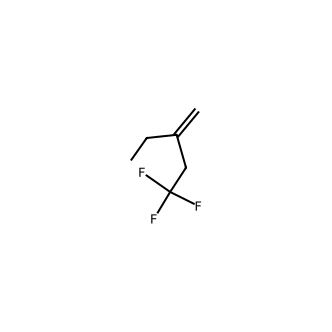 C=C(CC)CC(F)(F)F